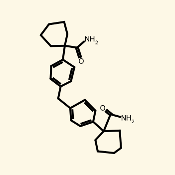 NC(=O)C1(c2ccc(Cc3ccc(C4(C(N)=O)CCCCC4)cc3)cc2)CCCCC1